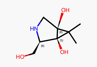 CC1(C)[C@]2(O)[C@@H](CO)NC[C@]12O